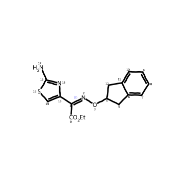 CCOC(=O)/C(=N\OC1Cc2ccccc2C1)c1csc(N)n1